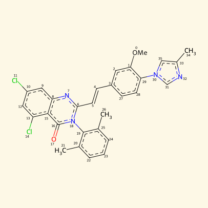 COc1cc(C=Cc2nc3cc(Cl)cc(Cl)c3c(=O)n2-c2c(C)cccc2C)ccc1-n1cnc(C)c1